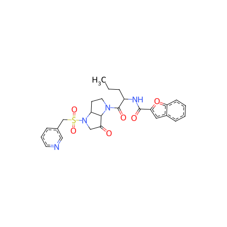 CCCC(NC(=O)c1cc2ccccc2o1)C(=O)N1CCC2C1C(=O)CN2S(=O)(=O)Cc1cccnc1